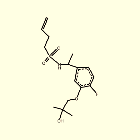 C=CCCS(=O)(=O)NC(C)c1ccc(F)c(OCC(C)(C)O)c1